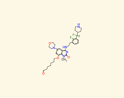 Cn1c(=O)nc(NCCc2cccc(C(F)(F)C3CCNCC3)c2F)c2cc(N3CCOCC3)cc(OCCCCCCC=O)c21